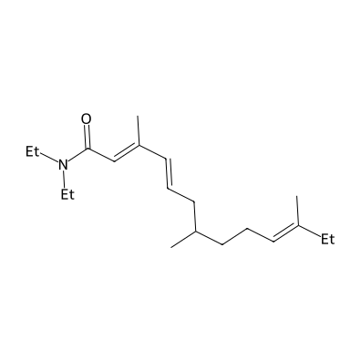 CCC(C)=CCCC(C)CC=CC(C)=CC(=O)N(CC)CC